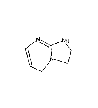 C1=CN=C2NCCN2C1